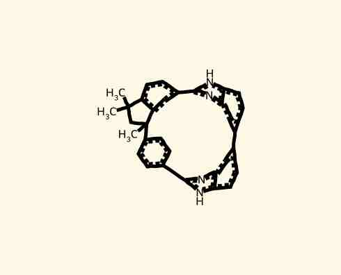 CC1(C)CC2(C)c3ccc(cc3)-c3nc4cc(ccc4[nH]3)-c3ccc4[nH]c(nc4c3)-c3ccc1c2c3